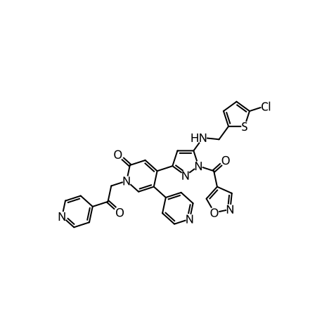 O=C(Cn1cc(-c2ccncc2)c(-c2cc(NCc3ccc(Cl)s3)n(C(=O)c3cnoc3)n2)cc1=O)c1ccncc1